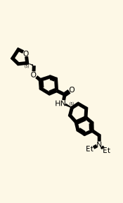 CCN(CC)Cc1ccc2c(c1)CC[C@H](NC(=O)c1ccc(OC[C@@H]3CCCO3)cc1)C2